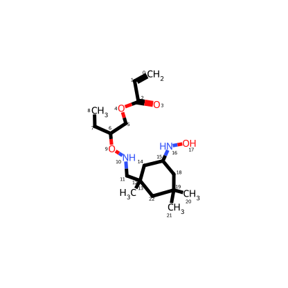 C=CC(=O)OCC(CC)ONCC1(C)CC(NO)CC(C)(C)C1